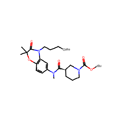 COCCCN1C(=O)C(C)(C)Oc2ccc(N(C)C(=O)[C@@H]3CCCN(C(=O)OC(C)(C)C)C3)cc21